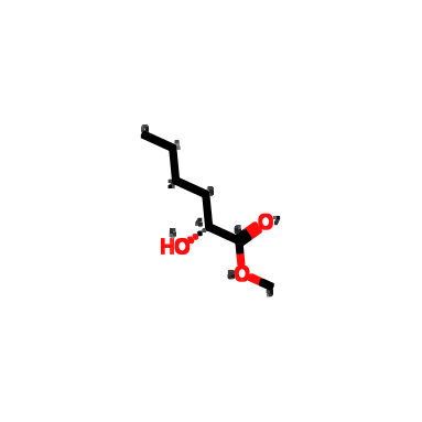 CCCC[C@@H](O)C(=O)OC